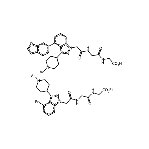 CC(=O)N1CCC(c2nn(CC(=O)NCC(=O)NCC(=O)O)c3cccc(-c4ccc5ccoc5c4)c23)CC1.CCOC(=O)CNC(=O)CNC(=O)Cn1nc(C2CCN(C(C)=O)CC2)c2c(Br)cccc21